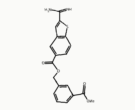 COC(=O)c1cccc(COC(=O)c2ccc3sc(C(=N)N)cc3c2)c1